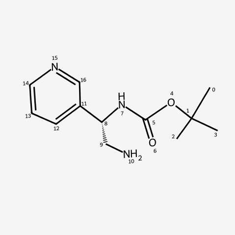 CC(C)(C)OC(=O)N[C@H](CN)c1cccnc1